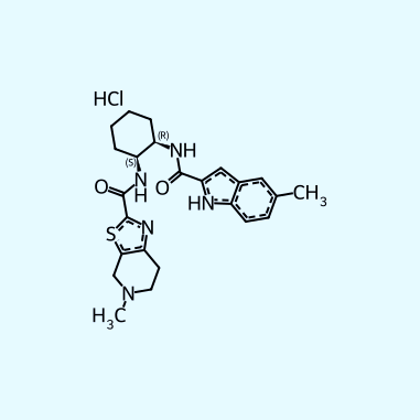 Cc1ccc2[nH]c(C(=O)N[C@@H]3CCCC[C@@H]3NC(=O)c3nc4c(s3)CN(C)CC4)cc2c1.Cl